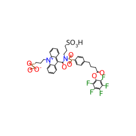 O=C(CCCc1ccc(S(=O)(=O)N(CCCS(=O)(=O)O)C(=O)c2c3ccccc3[n+](CCCS(=O)(=O)[O-])c3ccccc23)cc1)Oc1c(F)c(F)c(F)c(F)c1F